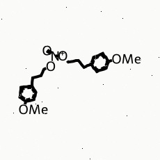 COc1ccc(CCCO[N+](=O)OCCCc2ccc(OC)cc2)cc1